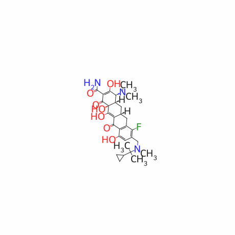 CN(C)[C@@H]1C(O)=C(C(N)=O)C(=O)[C@@]2(O)C(O)=C3C(=O)c4c(O)cc(CN(C)C(C)(C)C5CC5)c(F)c4C[C@H]3C[C@@H]12